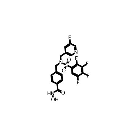 O=C(NO)c1ccc(CN(Cc2cncc(F)c2)S(=O)(=O)c2cc(F)c(F)c(F)c2F)cc1